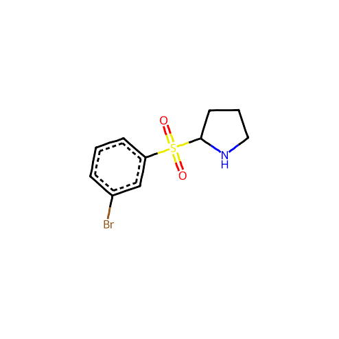 O=S(=O)(c1cccc(Br)c1)C1CCCN1